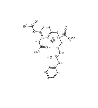 CCC(C)C(=O)Oc1ccc(C[C@](N)(CCOC(=O)Oc2ccccc2)C(=O)OC)cc1OC(=O)C(C)CC